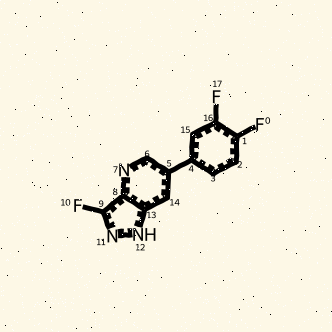 Fc1ccc(-c2cnc3c(F)n[nH]c3c2)cc1F